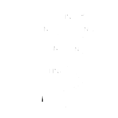 C[C@@H](O)[C@H](NC(=O)c1nc(N)c2[nH]cnc2n1)C(=O)O